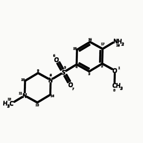 COc1cc(S(=O)(=O)N2CCN(C)CC2)ccc1N